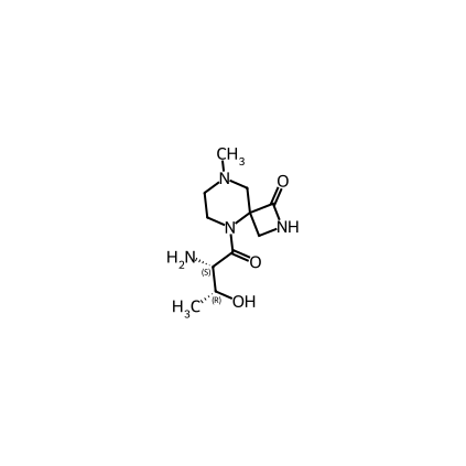 C[C@@H](O)[C@H](N)C(=O)N1CCN(C)CC12CNC2=O